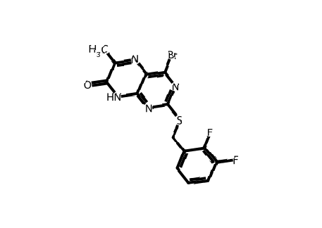 Cc1nc2c(Br)nc(SCc3cccc(F)c3F)nc2[nH]c1=O